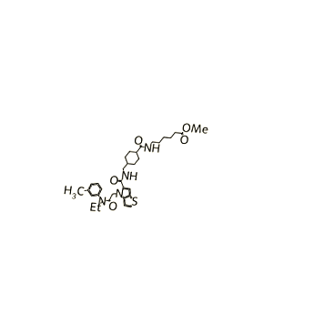 CCN(C(=O)Cn1c(C(=O)NCC2CCC(C(=O)NCCCCCC(=O)OC)CC2)cc2sccc21)c1cccc(C)c1